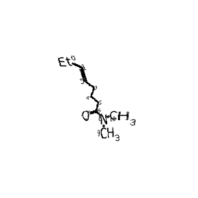 CCC=CCCCC(=O)N(C)C